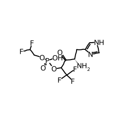 N[C@@H](Cc1c[nH]cn1)C(=O)C(OP(=O)(O)OCC(F)F)C(F)(F)F